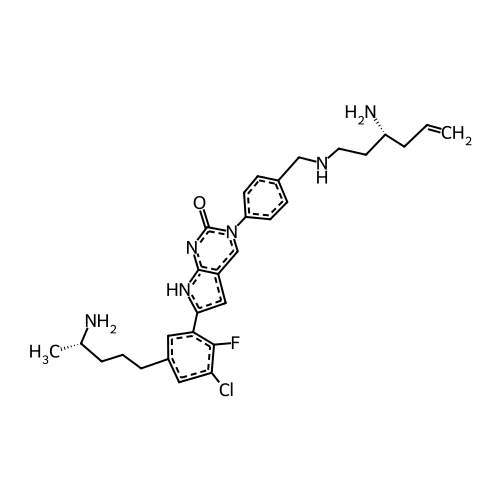 C=CC[C@@H](N)CCNCc1ccc(-n2cc3cc(-c4cc(CCC[C@H](C)N)cc(Cl)c4F)[nH]c3nc2=O)cc1